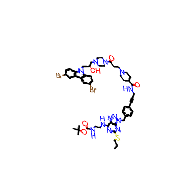 CCCSc1nc(NCCNC(=O)OC(C)(C)C)c2nnn(Cc3ccc(C#CCNC(=O)C4CCN(CCC(=O)N5CCN(CC(O)Cn6c7ccc(Br)cc7c7cc(Br)ccc76)CC5)CC4)cc3)c2n1